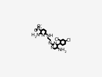 Nc1cnc([N]CCNc2ccc([N+](=O)[O-])c(N)n2)nc1-c1ccc(Cl)cc1Cl